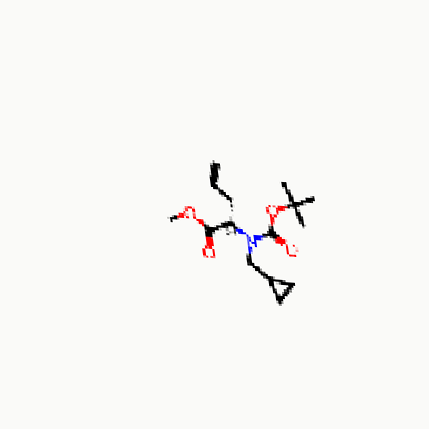 C=CC[C@@H](C(=O)OC)N(CC1CC1)C(=O)OC(C)(C)C